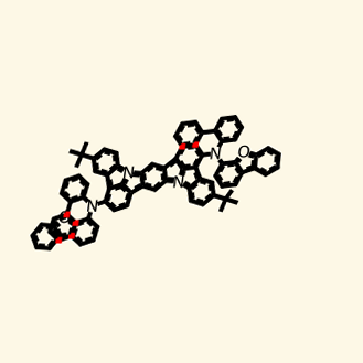 CC(C)(C)c1ccc2c(c1)c1c(N(c3ccccc3-c3ccccc3)c3cccc4c3oc3ccccc34)ccc3c4cc5c(cc4n2c31)c1ccc(N(c2ccccc2-c2ccccc2)c2cccc3c2oc2ccccc23)c2c3cc(C(C)(C)C)ccc3n5c12